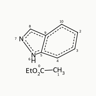 CCOC(C)=O.c1ccc2[nH]ncc2c1